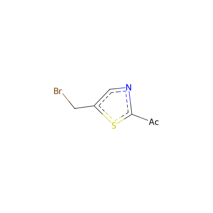 CC(=O)c1ncc(CBr)s1